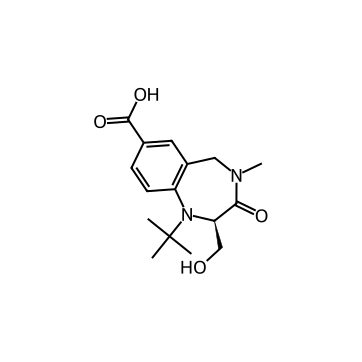 CN1Cc2cc(C(=O)O)ccc2N(C(C)(C)C)[C@H](CO)C1=O